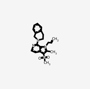 C=CCn1c(C)c(S(C)(=O)=O)c2ccnc(N3CCc4ccccc4C3)c21